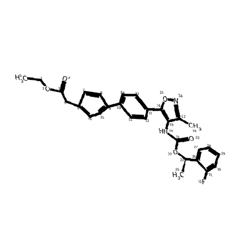 CCOC(=O)Cc1ccc(-c2ccc(-c3onc(C)c3NC(=O)O[C@H](C)c3ccccc3F)cc2)cc1